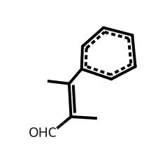 CC(C=O)=C(C)c1ccccc1